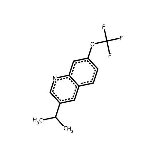 CC(C)c1cnc2cc(OC(F)(F)F)ccc2c1